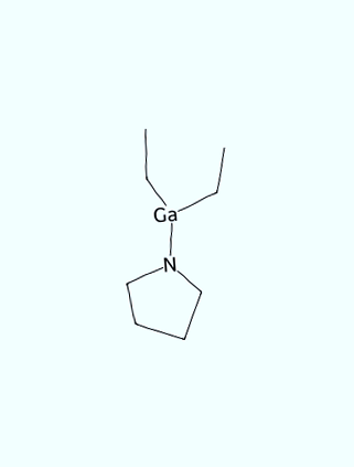 C[CH2][Ga]([CH2]C)[N]1CCCC1